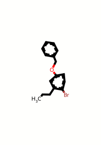 CCCc1cc(OCc2ccccc2)ccc1Br